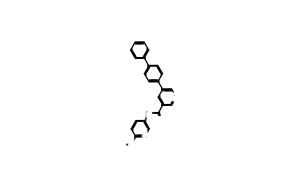 COc1ccc(NC(=O)c2cncc(-c3ccc(-c4ccccc4)cc3)c2)cn1